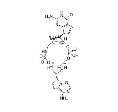 CO[C@H]1[C@H]2OP(=O)(O)OC[C@H]3OC(n4cnc5c(N)ncnc54)C[C@@H]3OS(=O)(=O)NC[C@H]1O[C@H]2n1cnc2c(=O)[nH]c(N)nc21